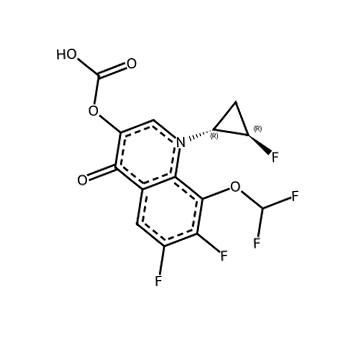 O=C(O)Oc1cn([C@@H]2C[C@H]2F)c2c(OC(F)F)c(F)c(F)cc2c1=O